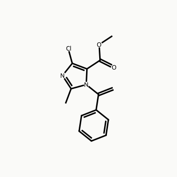 C=C(c1ccccc1)n1c(C)nc(Cl)c1C(=O)OC